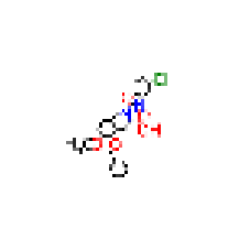 COc1ccc2c(c1OCc1ccccc1)CC(C(=O)O)N(c1nc3cc(Cl)ccc3o1)C2